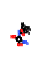 CC(C)(C)OC(=O)N[C@H]1C[C@@H](N)[C@H](O)C[C@@H]1O